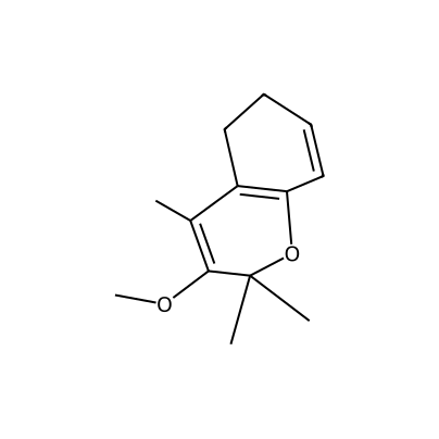 COC1=C(C)C2=C(C=CCC2)OC1(C)C